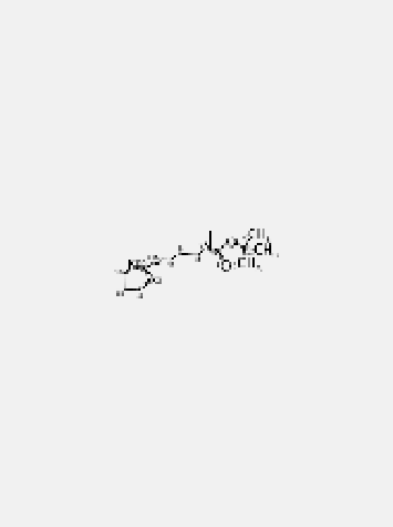 CC(C)(C)OC(=O)NCCCSc1ccccn1